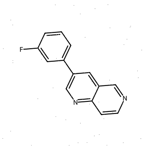 Fc1cccc(-c2cnc3ccncc3c2)c1